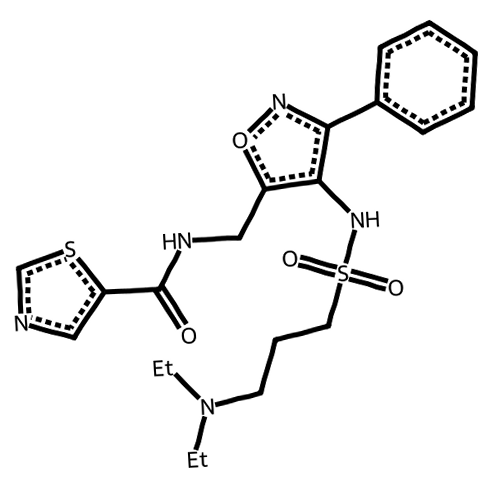 CCN(CC)CCCS(=O)(=O)Nc1c(-c2ccccc2)noc1CNC(=O)c1cncs1